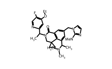 CCOc1cc(C(C)N2CC3(CC3)c3c(cc(Cn4ccnc4NC)cc3C(C)N(C)C)C2=O)ncc1F